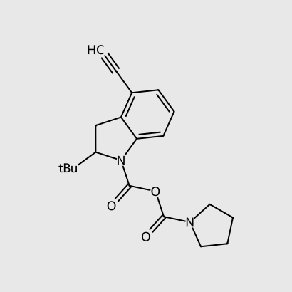 C#Cc1cccc2c1CC(C(C)(C)C)N2C(=O)OC(=O)N1CCCC1